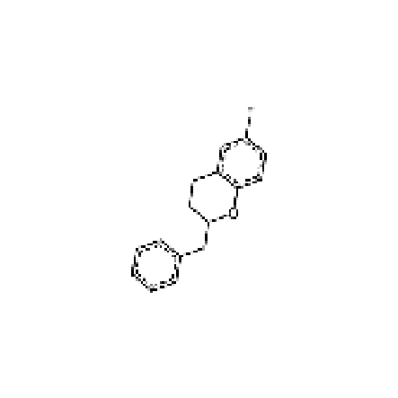 Fc1ccc2c(c1)CCC([CH]c1ccccc1)O2